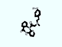 COc1ccc(CCN(C)CC(=O)N2c3ccccc3C(=O)Nc3cccnc32)cc1